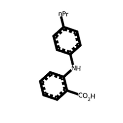 CCCc1ccc(Nc2ccccc2C(=O)O)cc1